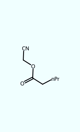 [CH2]CCCC(=O)OCC#N